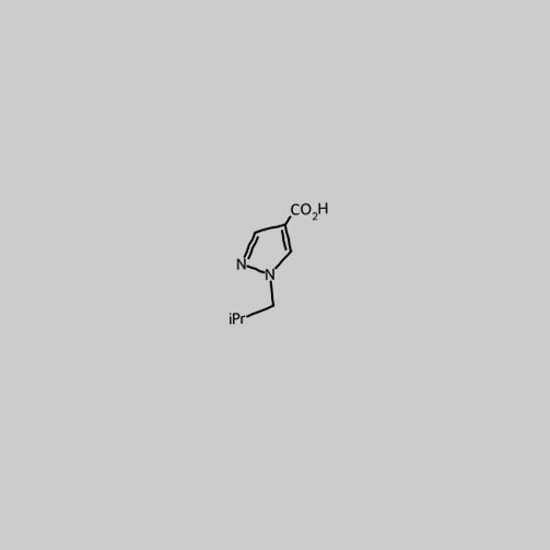 CC(C)Cn1cc(C(=O)O)cn1